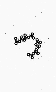 c1ccc(-n2c3ccccc3c3cc(-n4c5ccccc5c5cc(-n6c7ccccc7c7c(-n8c9ccccc9c9ccc(-c%10ccc%11c(c%10)c%10ccccc%10n%11-c%10ccc%11c(c%10)c%10ccccc%10n%11-c%10cccc%11c%10c%10ccccc%10n%11-c%10ccc%11c%12ccccc%12n(-c%12ccccc%12)c%11c%10)cc98)cccc76)ccc54)ccc32)cc1